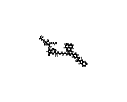 CS(C)(C)CCOC(=O)N[C@@H](CSC1CC(=O)N(CC(=O)NCCCCCCn2nc(-c3ccc(NC(=O)N4Cc5ccncc5C4)cc3)cc(-c3cccc4ncccc34)c2=O)C1=O)C(=O)O